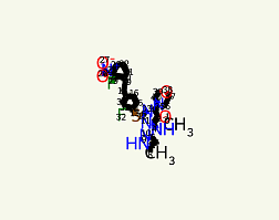 COc1c(Nc2cc(C)[nH]n2)nc(Sc2ccc(CCc3cccc([N+](=O)[O-])c3F)cc2F)nc1N1CCOCC1